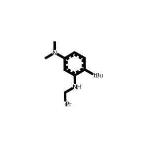 CC(C)CNc1cc(N(C)C)ccc1C(C)(C)C